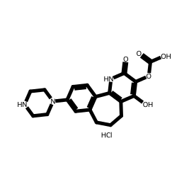 Cl.O=C(O)Oc1c(O)c2c([nH]c1=O)-c1ccc(N3CCNCC3)cc1CCC2